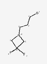 [O]CCCN1CC(F)(F)C1